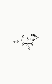 CCCCC(Cl)OP(=O)(O)OC1CN1